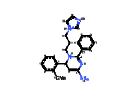 COc1ccccc1C1C=C(N)N=C(c2ccccc2)N1CCCn1ccnc1